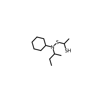 CCC(C)N(SC(C)S)C1CCCCC1